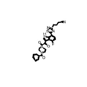 N#CCCCn1nnc(-c2ccc(F)c3c(C(=O)C(=O)N4CCN(C(=O)c5ccccc5)CC4)c[nH]c23)n1